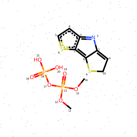 C1=C2N=c3ccsc3=C2SC1.COP(=O)(OC)OP(=O)(O)O